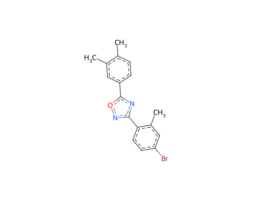 Cc1ccc(-c2nc(-c3ccc(Br)cc3C)no2)cc1C